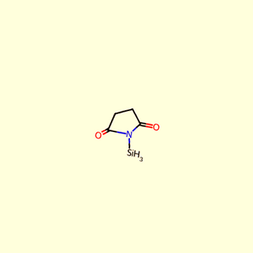 O=C1CCC(=O)N1[SiH3]